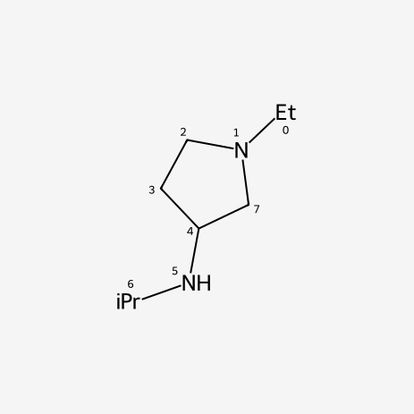 CCN1CCC(NC(C)C)C1